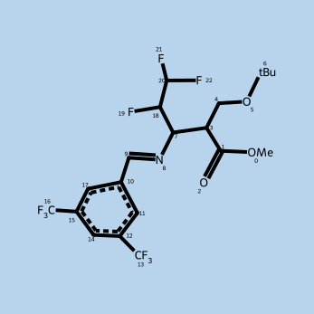 COC(=O)C(COC(C)(C)C)C(N=Cc1cc(C(F)(F)F)cc(C(F)(F)F)c1)C(F)C(F)F